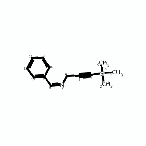 C[Si](C)(C)C#CC/N=C\c1ccccc1